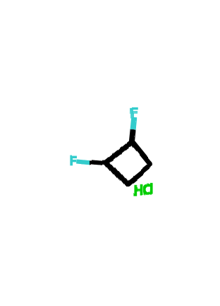 Cl.FC1CCC1F